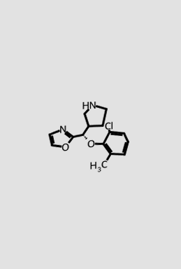 Cc1cccc(Cl)c1O[C@H](c1ncco1)C1CCNC1